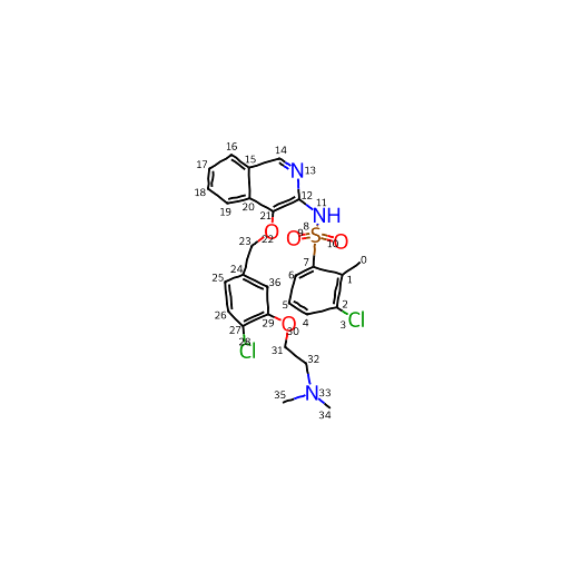 Cc1c(Cl)cccc1S(=O)(=O)Nc1ncc2ccccc2c1OCc1ccc(Cl)c(OCCN(C)C)c1